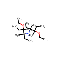 CCOC(C)(CC)C([SiH3])(CC)NC([SiH3])(CC)C(C)(CC)OCC